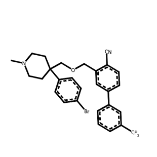 CN1CCC(COCc2cc(-c3cccc(C(F)(F)F)c3)ccc2C#N)(c2ccc(Br)cc2)CC1